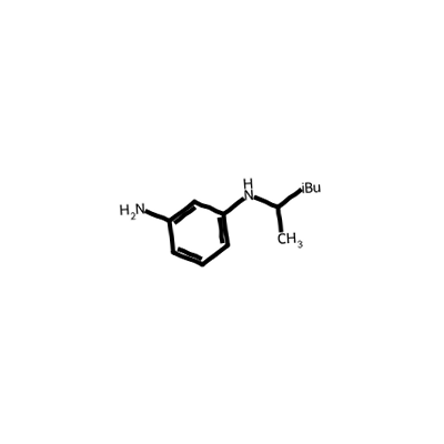 CCC(C)C(C)Nc1cccc(N)c1